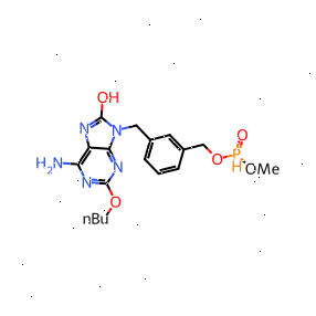 CCCCOc1nc(N)c2nc(O)n(Cc3cccc(CO[PH](=O)OC)c3)c2n1